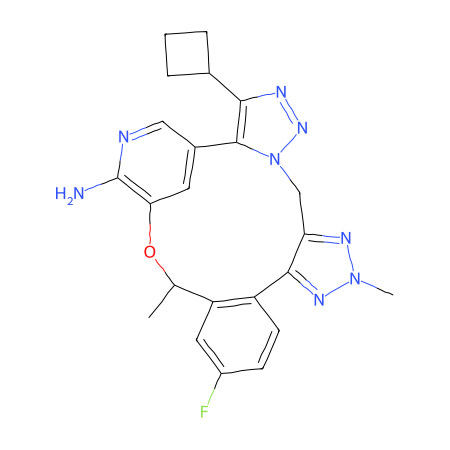 CC1Oc2cc(cnc2N)-c2c(C3CCC3)nnn2Cc2nn(C)nc2-c2ccc(F)cc21